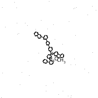 CC1(C)c2ccccc2-c2ccc(N(c3ccc(-c4ccc(-c5cccc(-c6ccc7ccccc7c6)c5)cc4)cc3)c3cccc(-c4ccccc4-c4ccccc4)c3)cc21